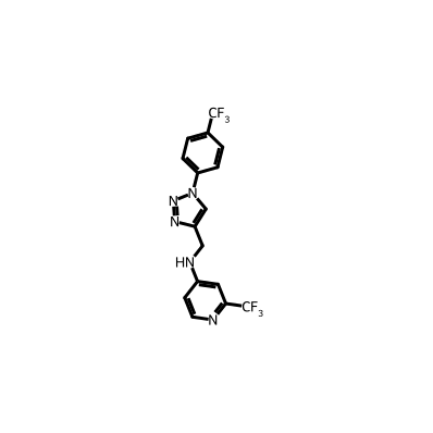 FC(F)(F)c1ccc(-n2cc(CNc3ccnc(C(F)(F)F)c3)nn2)cc1